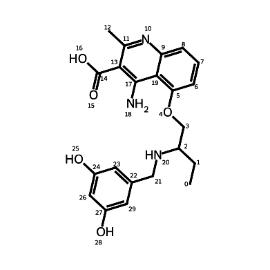 CCC(COc1cccc2nc(C)c(C(=O)O)c(N)c12)NCc1cc(O)cc(O)c1